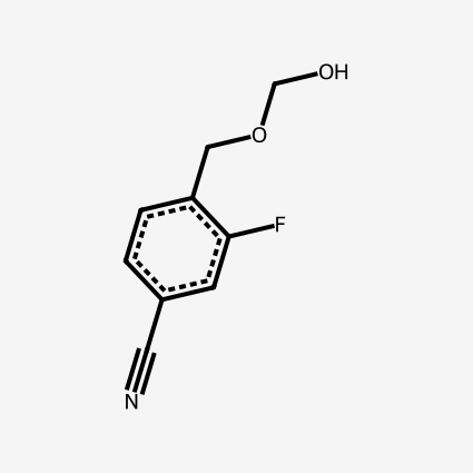 N#Cc1ccc(COCO)c(F)c1